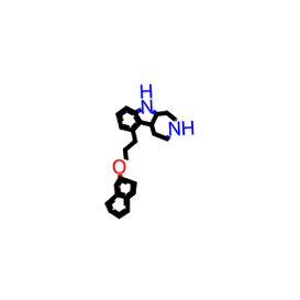 c1cc(CCCOc2ccc3ccccc3c2)c2c(c1)NC1CCNCCC21